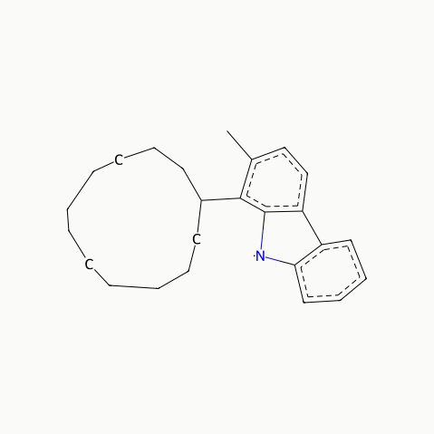 Cc1ccc2c(c1C1CCCCCCCCCCC1)[N]c1ccccc1-2